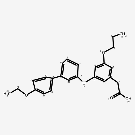 CCCOc1cc(CC(=O)O)cc(Oc2cccc(-c3ccc(OCC)cc3)c2)c1